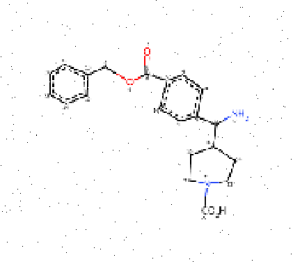 NC(c1ccc(C(=O)OCc2ccccc2)cc1)C1CCN(C(=O)O)CC1